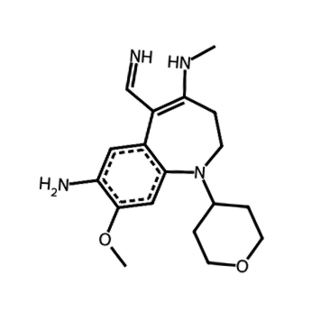 CNC1=C(C=N)c2cc(N)c(OC)cc2N(C2CCOCC2)CC1